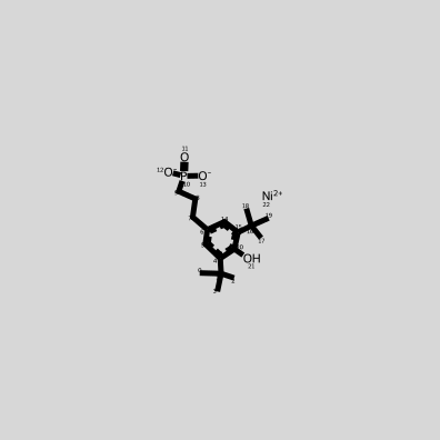 CC(C)(C)c1cc(CCCP(=O)([O-])[O-])cc(C(C)(C)C)c1O.[Ni+2]